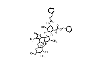 CC1C[C@@H]2OC(O[C@H]3OC(CCl)[C@@H](C)[C@H](O)C3O)C3C(OC(=O)N3C)C2O[C@@H]1O[C@@H]1C(NC(=O)OCc2ccccc2)C[C@@H](NC(=O)OCc2ccccc2)C(O)[C@H]1Cl